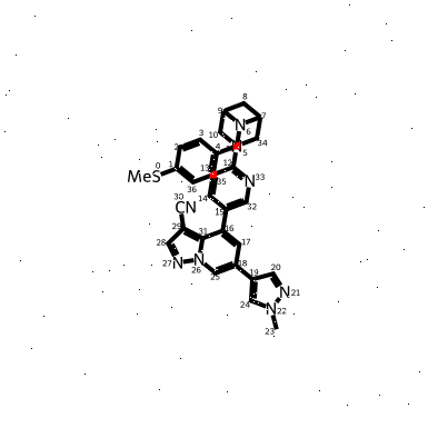 CSc1ccc(CN2C3CC2CN(c2ccc(-c4cc(-c5cnn(C)c5)cn5ncc(C#N)c45)cn2)C3)cc1